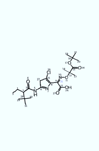 CCC(C(=O)NC1=NC(/C(=N/OC(C)(C)C(=O)OC(C)(C)C)C(=O)O)=C(Cl)C1)C(C)(C)C